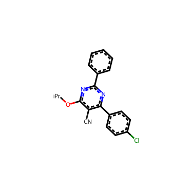 CC(C)Oc1nc(-c2ccccc2)nc(-c2ccc(Cl)cc2)c1C#N